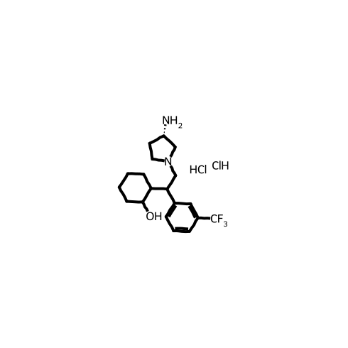 Cl.Cl.N[C@H]1CCN(CC(c2cccc(C(F)(F)F)c2)C2CCCCC2O)C1